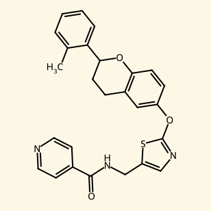 Cc1ccccc1C1CCc2cc(Oc3ncc(CNC(=O)c4ccncc4)s3)ccc2O1